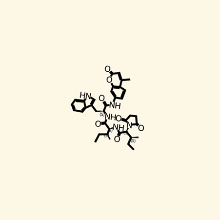 CC[C@H](C)[C@H](NC(=O)[C@H]([C@@H](C)CC)N1C(=O)CCC1=O)C(=O)N[C@@H](Cc1c[nH]c2ccccc12)C(=O)Nc1ccc2c(C)cc(=O)oc2c1